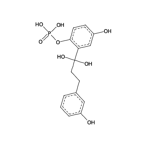 O=P(O)(O)Oc1ccc(O)cc1C(O)(O)CCc1cccc(O)c1